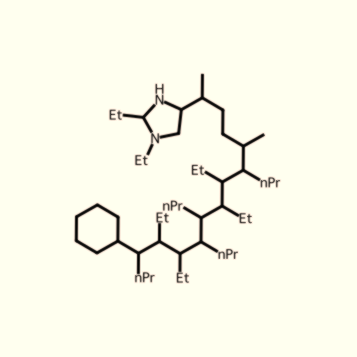 CCCC(C(C)CCC(C)C1CN(CC)C(CC)N1)C(CC)C(CC)C(CCC)C(CCC)C(CC)C(CC)C(CCC)C1CCCCC1